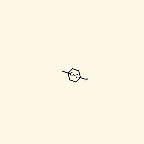 CC12CCC(F)(CC1)CC2